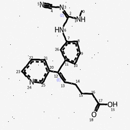 CN/C(=N/C#N)Nc1cccc(/C(=C\CCCC(=O)O)c2cccnc2)c1